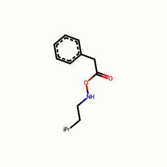 CC(C)CCNOC(=O)Cc1ccccc1